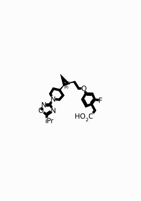 CC(C)c1nc(N2CCC([C@H]3C[C@H]3CCOc3ccc(CC(=O)O)c(F)c3)CC2)no1